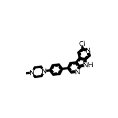 CN1CCN(c2ccc(-c3cnc4[nH]c5cnc(Cl)cc5c4c3)cc2)CC1